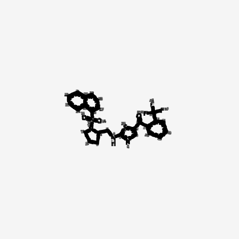 O=C(c1cnc(NCC2CCCN2S(=O)(=O)c2cccc3ccccc23)s1)c1ccccc1C(F)(F)F